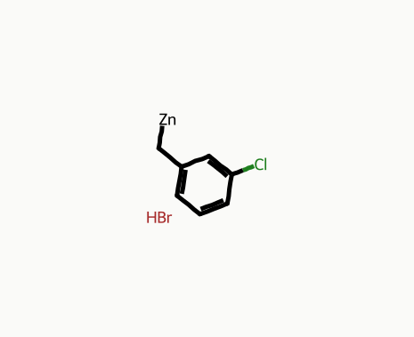 Br.Clc1cccc([CH2][Zn])c1